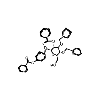 O=C(Oc1ccc(O[C@@H]2O[C@H](CO)[C@@H](OCc3ccccc3)[C@H](OCc3ccccc3)[C@H]2OC(=O)c2ccccc2)cc1)c1ccccc1